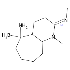 BC1(N)CCCCC2C1CC/C(=N\C)N2C